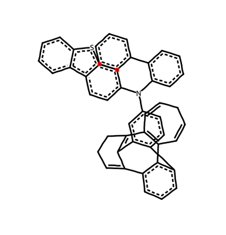 C1=CC2=C(C=CC1)c1c3cccc1-c1ccc(N(c4ccc5c(c4)sc4ccccc45)c4ccccc4-c4ccccc4)cc1C1=C2CCC=C13